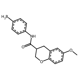 Bc1ccc(NC(=O)C2COc3ccc(OC)cc3C2)cc1